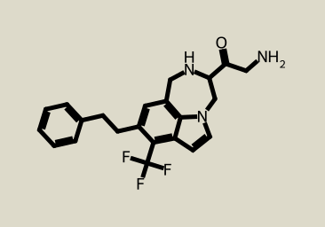 NCC(=O)C1Cn2ccc3c(C(F)(F)F)c(CCc4ccccc4)cc(c32)CN1